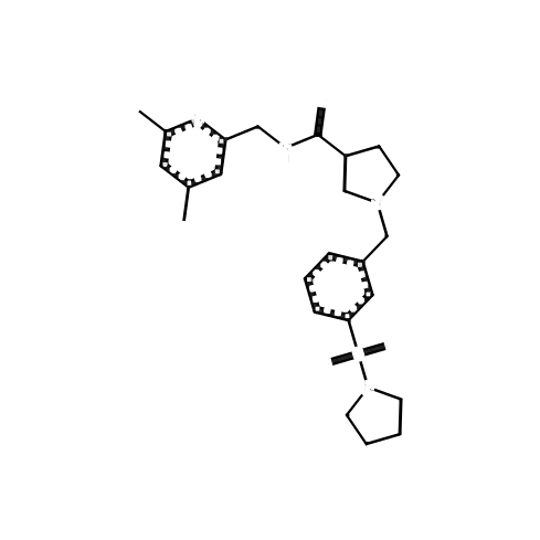 Cc1cc(C)nc(CNC(=O)C2CCN(Cc3cccc(S(=O)(=O)N4CCCC4)c3)C2)c1